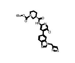 CC(C)(C)OC(=O)N1CCC[C@@H](C(=O)Nc2cc(-c3ccc4ncn(Cc5cscn5)c4c3)c(Cl)cn2)C1